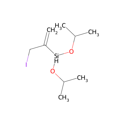 C=C(CI)[SiH](OC(C)C)OC(C)C